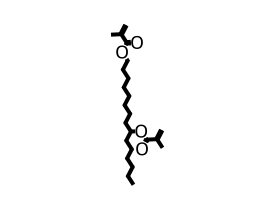 C=C(C)C(=O)OCCCCCCCCC(CCCCCC)OC(=O)C(=C)C